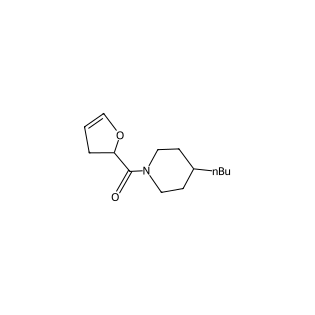 CCCCC1CCN(C(=O)C2CC=CO2)CC1